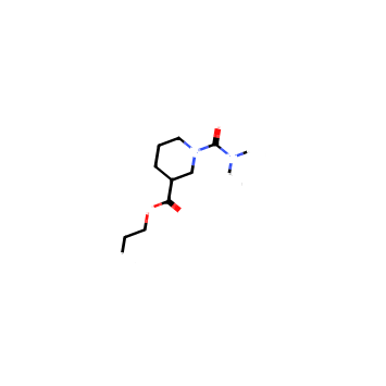 CCCOC(=O)C1CCCN(C(=O)N(C)C)C1